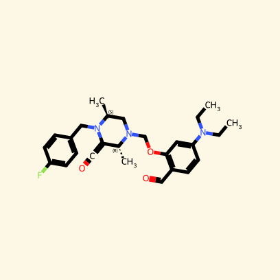 CCN(CC)c1ccc(C=O)c(OCN2C[C@H](C)N(Cc3ccc(F)cc3)C(=C=O)[C@H]2C)c1